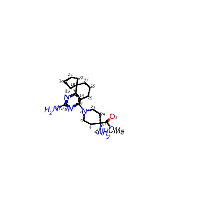 COC(=O)C1(N)CCN(c2nc(N)nc3c2CCCC32CCCC2)CC1